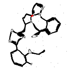 CCOc1c(F)cccc1-c1noc(C2CCCN2C(=O)c2ccccc2-n2nccn2)n1